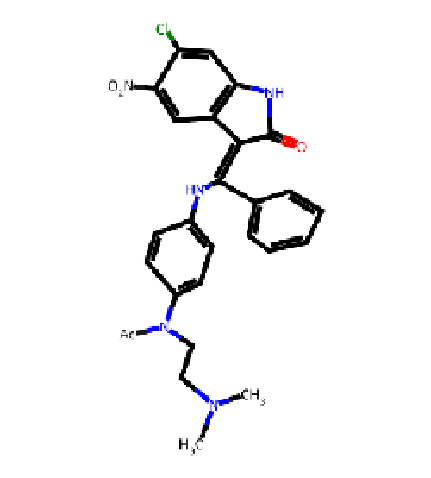 CC(=O)N(CCN(C)C)c1ccc(NC(=C2C(=O)Nc3cc(Cl)c([N+](=O)[O-])cc32)c2ccccc2)cc1